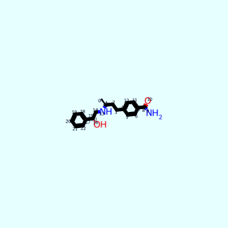 C[C@@H](CCc1ccc(C(N)=O)cc1)NC[C@H](O)c1ccccc1